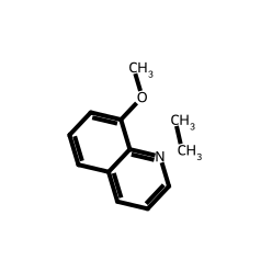 CC.COc1cccc2cccnc12